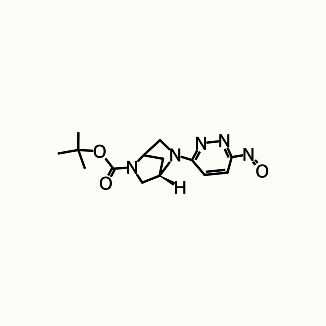 CC(C)(C)OC(=O)N1C[C@@H]2CC1CN2c1ccc(N=O)nn1